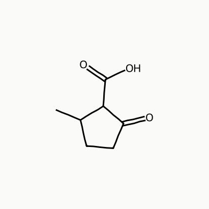 CC1CCC(=O)C1C(=O)O